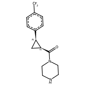 O=C([C@H]1C[C@H]1c1ccc(C(F)(F)F)cc1)N1CCNCC1